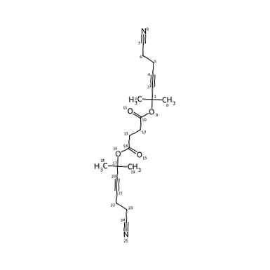 CC(C)(C#CCCC#N)OC(=O)CCC(=O)OC(C)(C)C#CCCC#N